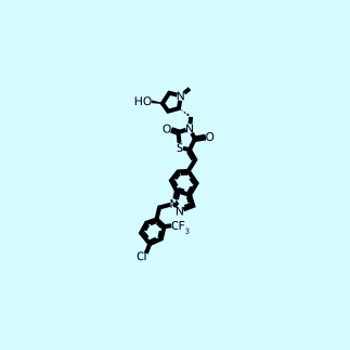 CN1C[C@H](O)C[C@H]1CN1C(=O)S/C(=C\c2ccc3c(cnn3Cc3ccc(Cl)cc3C(F)(F)F)c2)C1=O